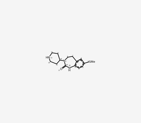 CSc1ccc2c(c1)CCN(C1CCNCC1)C(=O)N2